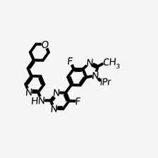 Cc1nc2c(F)cc(-c3nc(Nc4ccc(C=C5CCOCC5)cn4)ncc3F)cc2n1C(C)C